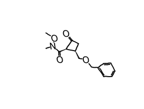 CON(C)C(=O)[C@H]1C(=O)C[C@H]1COCc1ccccc1